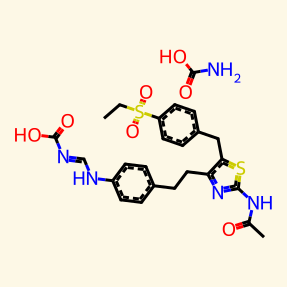 CCS(=O)(=O)c1ccc(Cc2sc(NC(C)=O)nc2CCc2ccc(NC=NC(=O)O)cc2)cc1.NC(=O)O